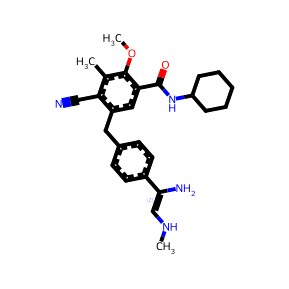 CN/C=C(\N)c1ccc(Cc2cc(C(=O)NC3CCCCC3)c(OC)c(C)c2C#N)cc1